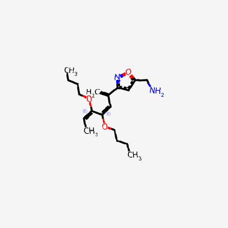 C=C(/C=C(OCCCC)\C(=C/C)OCCCC)c1cc(CN)on1